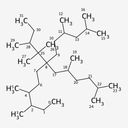 CCC(C)C(C)CCC(CCC(C)CC(C)C)(CC(C)CCC(C)C)C(C)(C)C(C)CC